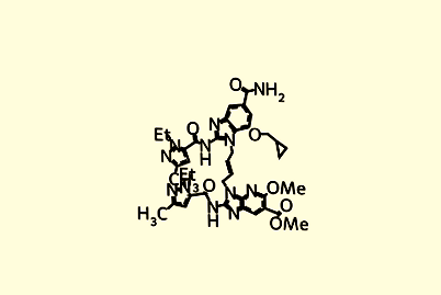 CCn1nc(C)cc1C(=O)Nc1nc2cc(C(=O)OC)c(OC)nc2n1C/C=C/Cn1c(NC(=O)c2cc(C)nn2CC)nc2cc(C(N)=O)cc(OCC3CC3)c21